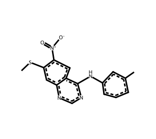 CSc1cc2ncnc(Nc3cccc(C)c3)c2cc1[N+](=O)[O-]